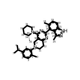 Cc1ccc(C(C)C)cc1N1CCc2nc(-c3c(C)ccc4[nH]nc(C)c34)nc(N3CCCC[C@H]3C)c2C1